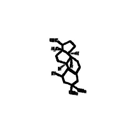 CCC1CC(OC)(OC)CC2=C1[C@H]1CC[C@]3(C)C(C=O)CC[C@H]3[C@@H]1CC2